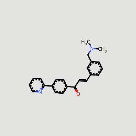 CN(C)Cc1cccc(C=CC(=O)c2ccc(-c3ccccn3)cc2)c1